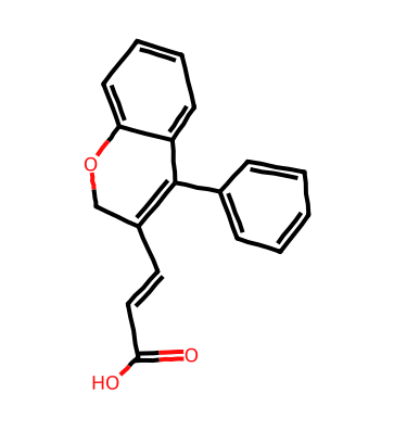 O=C(O)C=CC1=C(c2ccccc2)c2ccccc2OC1